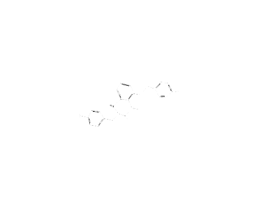 CN1c2c(OCc3ccc(Cl)cc3)cccc2C(=O)N(Cc2ccc(Cl)cc2)C1O